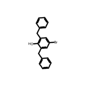 Oc1c(Cc2ccccc2)cc(Br)cc1Cc1ccccc1